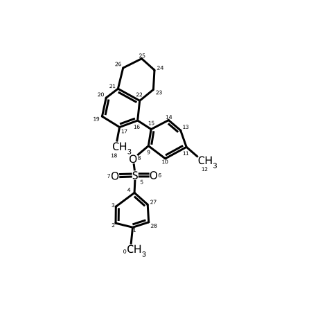 Cc1ccc(S(=O)(=O)Oc2cc(C)ccc2-c2c(C)ccc3c2CCCC3)cc1